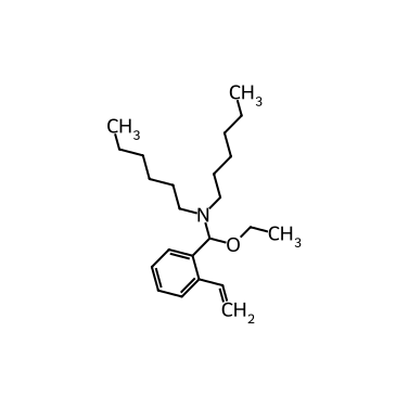 C=Cc1ccccc1C(OCC)N(CCCCCC)CCCCCC